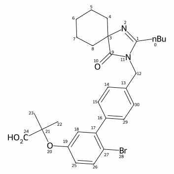 CCCCC1=NC2(CCCCC2)C(=O)N1Cc1ccc(-c2cc(OC(C)(C)C(=O)O)ccc2Br)cc1